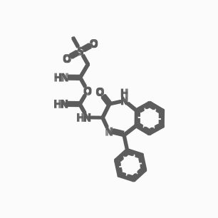 CS(=O)(=O)CC(=N)OC(=N)NC1N=C(c2ccccc2)c2ccccc2NC1=O